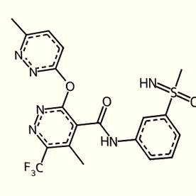 Cc1ccc(Oc2nnc(C(F)(F)F)c(C)c2C(=O)Nc2cccc(S(C)(=N)=O)c2)nn1